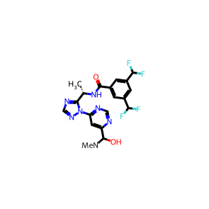 CNC(O)c1cc(-n2ncnc2[C@H](C)NC(=O)c2cc(C(F)F)cc(C(F)F)c2)ncn1